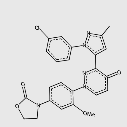 COc1cc(N2CCOC2=O)ccc1-n1ccc(=O)c(-c2cc(C)nn2-c2cccc(Cl)c2)n1